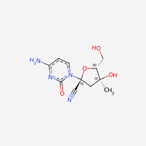 C[C@]1(O)C[C@](C#N)(n2ccc(N)nc2=O)O[C@@H]1CO